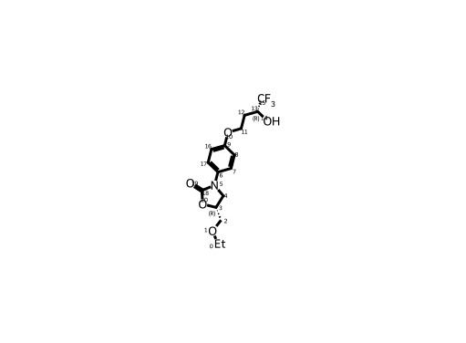 CCOC[C@H]1CN(c2ccc(OCC[C@@H](O)C(F)(F)F)cc2)C(=O)O1